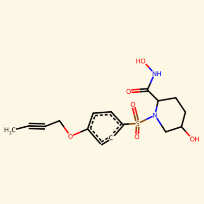 CC#CCOc1ccc(S(=O)(=O)N2CC(O)CCC2C(=O)NO)cc1